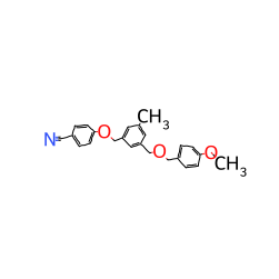 COc1ccc(COCc2cc(C)cc(COc3ccc(C#N)cc3)c2)cc1